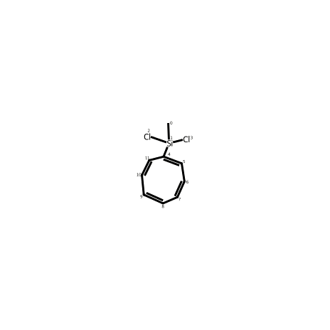 C[Si](Cl)(Cl)C1=C/C=C\C=C/C=C\1